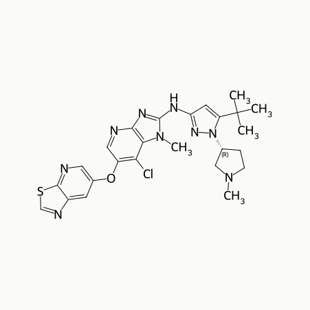 CN1CC[C@@H](n2nc(Nc3nc4ncc(Oc5cnc6scnc6c5)c(Cl)c4n3C)cc2C(C)(C)C)C1